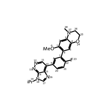 COc1cc2c(cc1-c1cc(-c3cnnc4c3ncn4C(C)C)ccc1F)OCCN2C